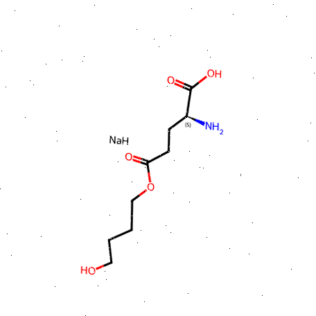 N[C@@H](CCC(=O)OCCCCO)C(=O)O.[NaH]